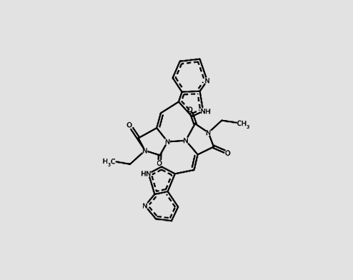 CCN1C(=O)/C(=C/c2c[nH]c3ncccc23)N(N2C(=O)N(CC)C(=O)/C2=C/c2c[nH]c3ncccc23)C1=O